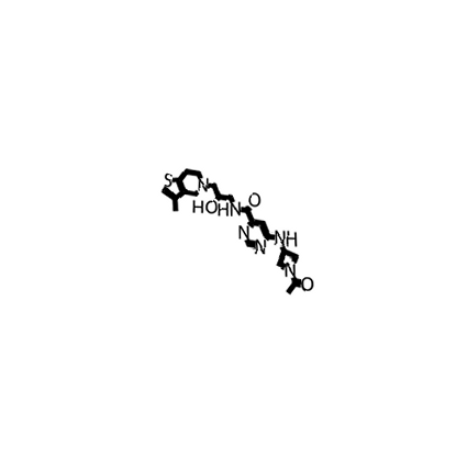 CC(=O)N1CC(Nc2cc(C(=O)NCC(O)CN3CCc4scc(C)c4C3)ncn2)C1